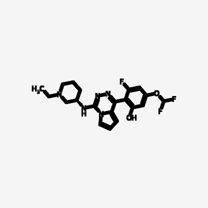 CCN1CCC[C@@H](Nc2nnc(-c3c(O)cc(OC(F)F)cc3F)c3cccn23)C1